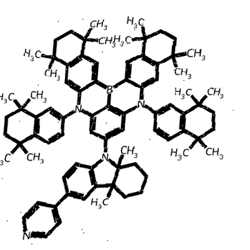 CC1(C)CCC(C)(C)c2cc(N3c4cc5c(cc4B4c6cc7c(cc6N(c6ccc8c(c6)C(C)(C)CCC8(C)C)c6cc(N8c9ccc(-c%10ccncc%10)cc9C9(C)CCCCC89C)cc3c64)C(C)(C)CCC7(C)C)C(C)(C)CCC5(C)C)ccc21